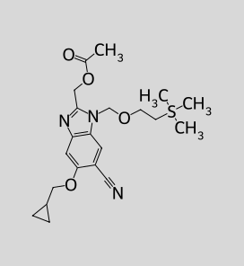 CC(=O)OCc1nc2cc(OCC3CC3)c(C#N)cc2n1COCCS(C)(C)C